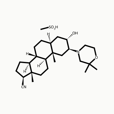 CC1(C)CN([C@H]2C[C@@]3(C)[C@@H](CC[C@@H]4[C@@H]3CC[C@]3(C)[C@@H](C#N)CC[C@@H]43)C[C@@H]2O)CCO1.CS(=O)(=O)O